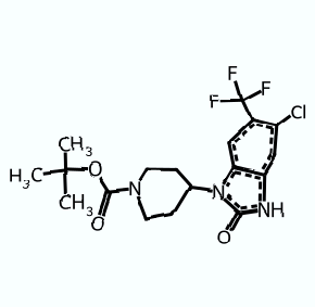 CC(C)(C)OC(=O)N1CCC(n2c(=O)[nH]c3cc(Cl)c(C(F)(F)F)cc32)CC1